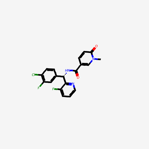 Cn1cc(C(=O)N[C@@H](c2ccc(Cl)c(F)c2)c2ncccc2F)ccc1=O